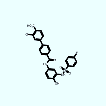 O=C(Nc1ccc(O)c(NS(=O)(=O)c2ccc(F)cc2)c1)c1ccc(-c2ccc(C(=O)O)c(Cl)c2)cc1